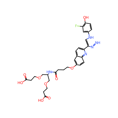 N=N/C(=C\Nc1ccc(O)c(F)c1)c1ccc2cc(OCCCC(=O)NC(COCCC(=O)O)COCCC(=O)O)ccc2n1